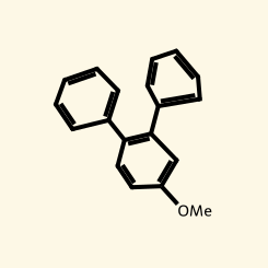 COc1ccc(-c2ccccc2)c(-c2ccccc2)c1